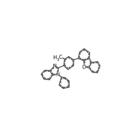 Cc1cc(-c2cccc3c2oc2ccccc23)ccc1-c1nc2ccccc2n1-c1ccccc1